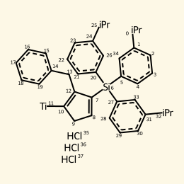 CC(C)c1cccc([Si](C2=CC[C]([Ti])=C2Cc2ccccc2)(c2cccc(C(C)C)c2)c2cccc(C(C)C)c2)c1.Cl.Cl.Cl